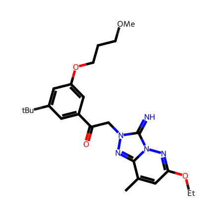 CCOc1cc(C)c2nn(CC(=O)c3cc(OCCCOC)cc(C(C)(C)C)c3)c(=N)n2n1